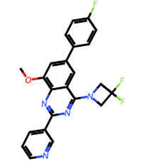 COc1cc(-c2ccc(F)cc2)cc2c(N3CC(F)(F)C3)nc(-c3cccnc3)nc12